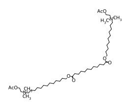 CC(=O)OCC[N+](C)(C)CCCCCCCCCCCCCOC(=O)CCCCCCCCCCC(=O)OCCCCCCCCCCC[N+](C)(C)CCOC(C)=O